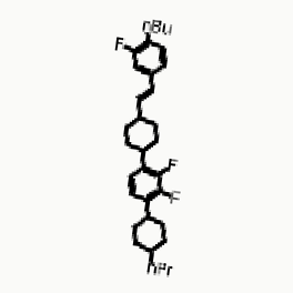 CCCCc1ccc(/C=C/C2CCC(c3ccc(C4CCC(CCC)CC4)c(F)c3F)CC2)cc1F